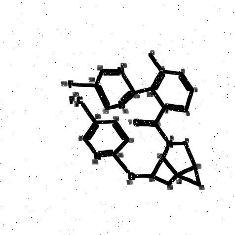 Cc1cccc(C(=O)N2CC3CC34CC(Oc3ccc(C(F)(F)F)cn3)C24)c1-c1ncc(F)cn1